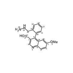 COc1ccc2ncc(C(=O)O)c(-c3ccccc3CNN)c2c1